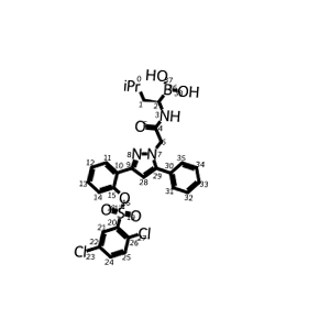 CC(C)C[C@H](NC(=O)Cn1nc(-c2ccccc2OS(=O)(=O)c2cc(Cl)ccc2Cl)cc1-c1ccccc1)B(O)O